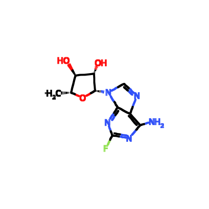 [CH2][C@H]1O[C@@H](n2cnc3c(N)nc(F)nc32)[C@@H](O)[C@@H]1O